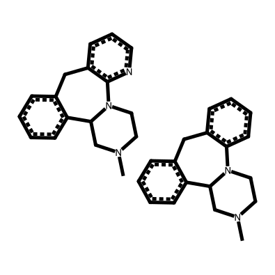 CN1CCN2c3ccccc3Cc3ccccc3C2C1.CN1CCN2c3ncccc3Cc3ccccc3C2C1